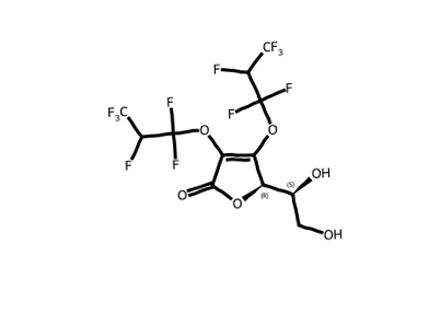 O=C1O[C@H]([C@@H](O)CO)C(OC(F)(F)C(F)C(F)(F)F)=C1OC(F)(F)C(F)C(F)(F)F